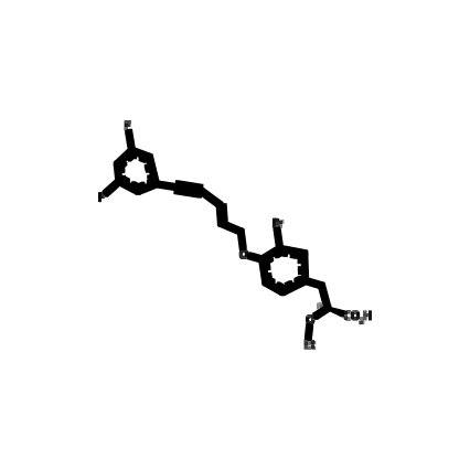 CCO[C@@H](Cc1ccc(OCC=CC#Cc2cc(F)cc(F)c2)c(Br)c1)C(=O)O